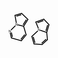 c1ccn2cccc2c1.c1cnn2cccc2c1